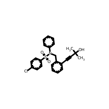 CC(C)(O)C#Cc1ccccc1CN(c1ccccc1)S(=O)(=O)c1ccc(Cl)cc1